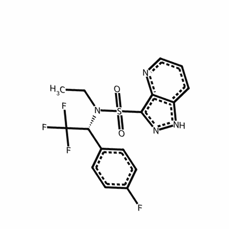 CCN([C@H](c1ccc(F)cc1)C(F)(F)F)S(=O)(=O)c1n[nH]c2cccnc12